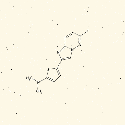 CN(C)c1ccc(-c2cn3nc(F)ccc3n2)s1